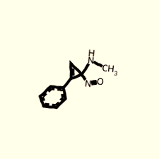 CNC1(N=O)C=C1c1ccccc1